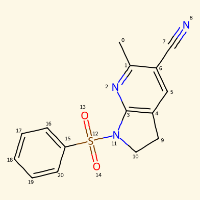 Cc1nc2c(cc1C#N)CCN2S(=O)(=O)c1ccccc1